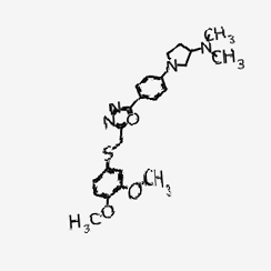 COc1ccc(SCc2nnc(-c3ccc(N4CCC(N(C)C)C4)cc3)o2)cc1OC